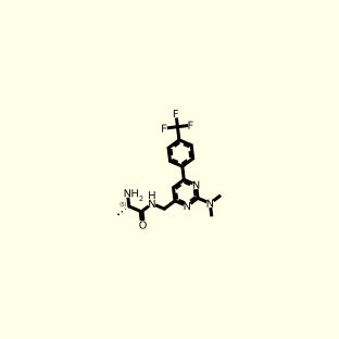 C[C@H](N)C(=O)NCc1cc(-c2ccc(C(F)(F)F)cc2)nc(N(C)C)n1